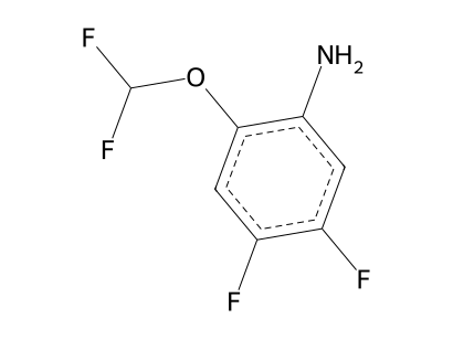 Nc1cc(F)c(F)cc1OC(F)F